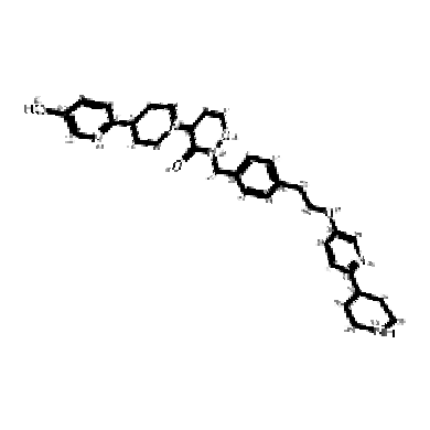 O=C1C(N2CCC(c3ccc(O)cn3)CC2)CCON1Cc1ccc(CCOc2ccc(C3CCNCC3)nc2)cc1